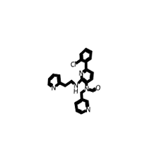 O=CN(Cc1cccnc1)c1ccc(-c2ccccc2Cl)nc1NCCc1ccccn1